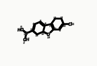 OB(O)C1=CC=C2C3=C(C=C(Cl)CC3)OC2C1